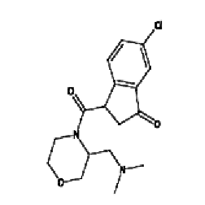 CN(C)CC1COCCN1C(=O)C1CC(=O)c2cc(Cl)ccc21